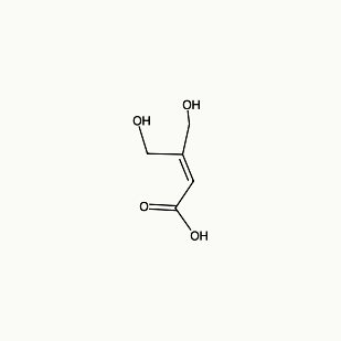 O=C(O)C=C(CO)CO